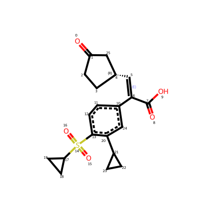 O=C1CC[C@@H](/C=C(/C(=O)O)c2ccc(S(=O)(=O)C3CC3)c(C3CC3)c2)C1